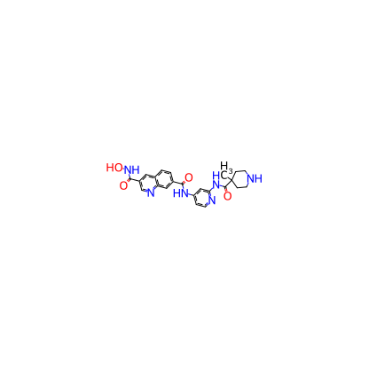 CC1(C(=O)Nc2cc(NC(=O)c3ccc4cc(C(=O)NO)cnc4c3)ccn2)CCNCC1